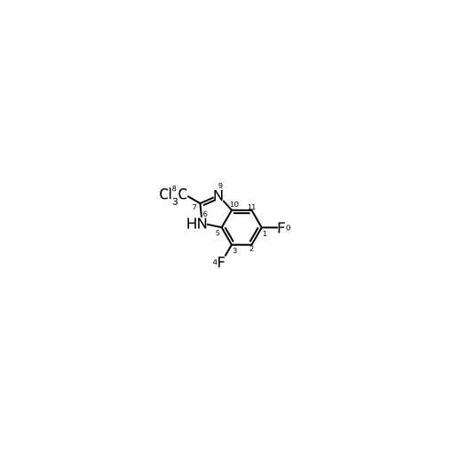 Fc1cc(F)c2[nH]c(C(Cl)(Cl)Cl)nc2c1